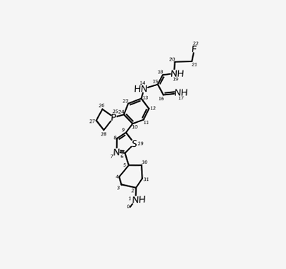 CNC1CCC(c2ncc(-c3ccc(N/C(C=N)=C/NCCF)cc3P3CCC3)s2)CC1